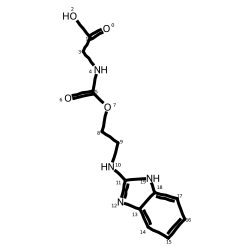 O=C(O)CNC(=O)OCCNc1nc2ccccc2[nH]1